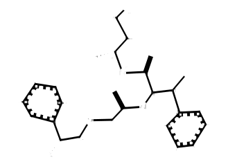 CC(c1ccccc1)C(NC(=O)CNC[C@H](C)c1ccccc1)C(=O)N[C@H](C)CCC(=O)O